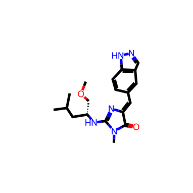 COC[C@@H](CC(C)C)NC1=N/C(=C\c2ccc3[nH]ncc3c2)C(=O)N1C